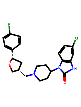 O=c1[nH]c2cc(Cl)ccc2n1C1CCN(C[C@@H]2CO[C@H](c3ccc(F)cc3)C2)CC1